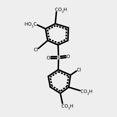 O=C(O)c1ccc(S(=O)(=O)c2ccc(C(=O)O)c(C(=O)O)c2Cl)c(Cl)c1C(=O)O